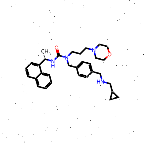 C[C@H](NC(=O)N(CCCN1CCOCC1)Cc1ccc(CNCC2CC2)cc1)c1cccc2ccccc12